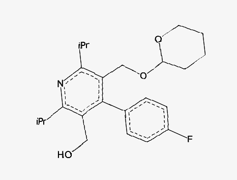 CC(C)c1nc(C(C)C)c(COC2CCCCO2)c(-c2ccc(F)cc2)c1CO